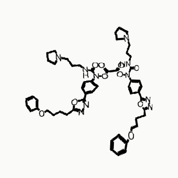 O=C(ON(C(=O)NCCCN1CCCC1)c1ccc(-c2nnc(CCCCOc3ccccc3)o2)cc1)C(=O)ON(C(=O)NCCCN1CCCC1)c1ccc(-c2nnc(CCCCOc3ccccc3)o2)cc1